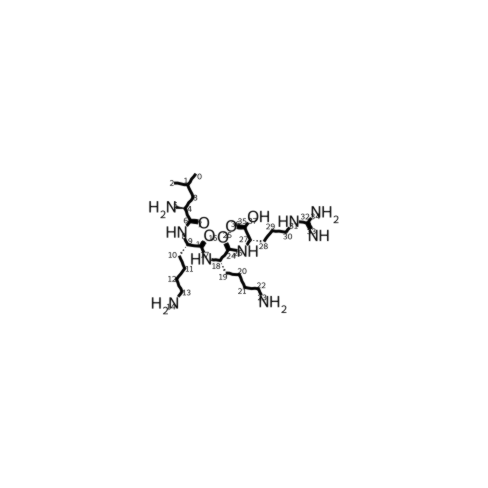 CC(C)C[C@H](N)C(=O)N[C@@H](CCCCN)C(=O)N[C@@H](CCCCN)C(=O)N[C@@H](CCCNC(=N)N)C(=O)O